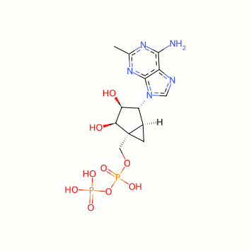 Cc1nc(N)c2ncn([C@H]3[C@H](O)[C@H](O)[C@]4(COP(=O)(O)OP(=O)(O)O)C[C@H]34)c2n1